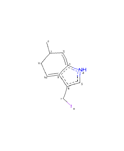 CC1C=c2[nH]cc(CI)c2=CC1